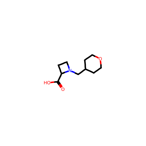 O=C(O)C1CCN1CC1CCOCC1